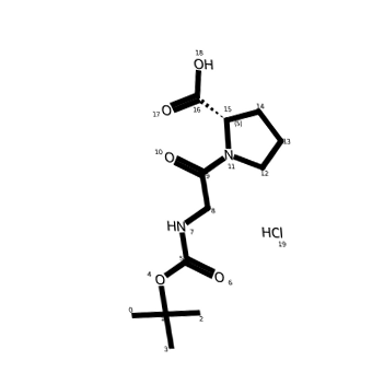 CC(C)(C)OC(=O)NCC(=O)N1CCC[C@H]1C(=O)O.Cl